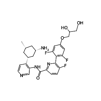 C[C@@H]1C[C@H](N)C[C@H](c2ccncc2NC(=O)c2ccc(F)c(-c3c(F)cc(OCC(O)CO)cc3F)n2)C1